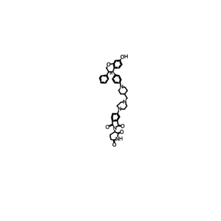 O=C1CCC(N2C(=O)c3ccc(N4CCN(CC5CCN(c6ccc([C@@H]7c8ccc(O)cc8OCC7c7ccccc7)cc6)CC5)CC4)cc3C2=O)C(=O)N1